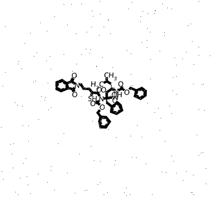 CC(C)C[C@H](NC(=O)OCc1ccccc1)C(=O)[C@](Cc1ccccc1)(C(=O)O)N(C(=O)OCc1ccccc1)C(=O)C(S)CCCN1C(=O)c2ccccc2C1=O